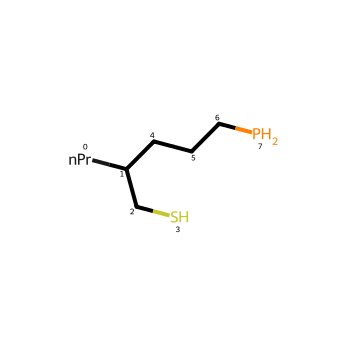 CCCC(CS)CCCP